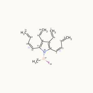 C=C/C=C\c1c(C=C)c(C=C)c(/C=C\C=C)n1B(C)I